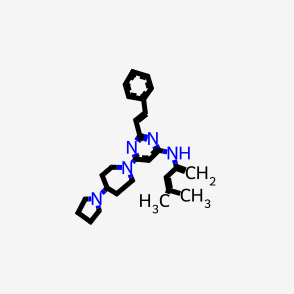 C=C(C=C(C)C)Nc1cc(N2CCC(N3CCCC3)CC2)nc(/C=C/c2ccccc2)n1